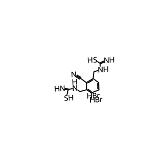 Br.Br.N#Cc1c(CNC(=N)S)cccc1CNC(=N)S